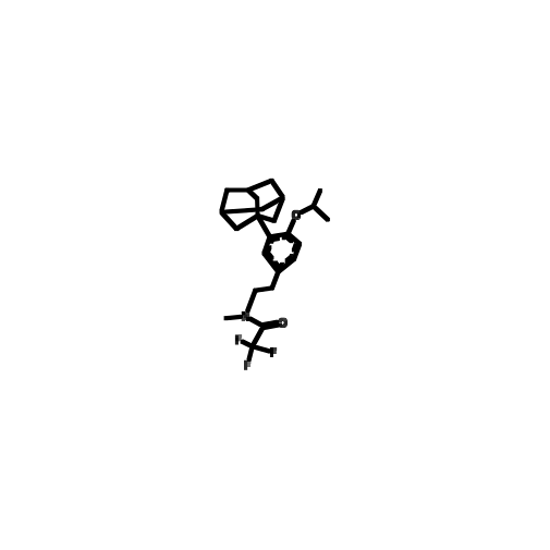 CC(C)Oc1ccc(CCN(C)C(=O)C(F)(F)F)cc1C12CC3CC(CC(C3)C1)C2